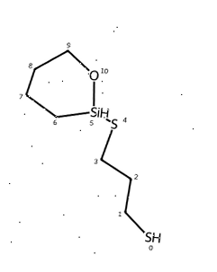 SCCCS[SiH]1CCCCO1